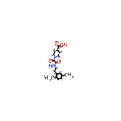 Cc1ccc(C)c(CCNC(=O)C(=O)N2CCC(C(=O)O)CC2)c1